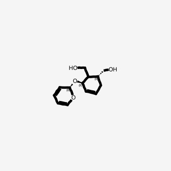 OCC1[C@H](CO)CC=C[C@H]1O[C@H]1C=CC=CO1